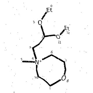 CCOC(C[N+]1(C)CCOCC1)OCC